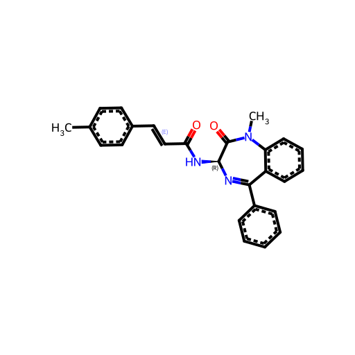 Cc1ccc(/C=C/C(=O)N[C@@H]2N=C(c3ccccc3)c3ccccc3N(C)C2=O)cc1